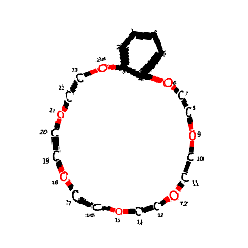 c1ccc2c(c1)OCCOCCOCCOCCOCCOCCO2